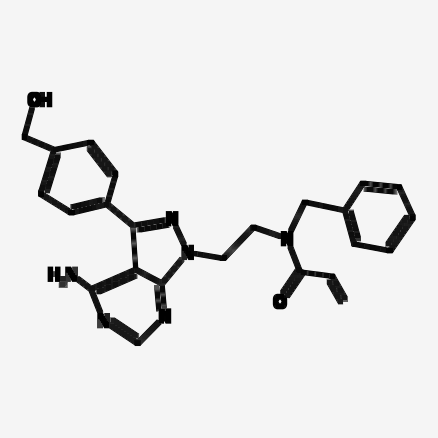 C=CC(=O)N(CCn1nc(-c2ccc(CO)cc2)c2c(N)ncnc21)Cc1ccccc1